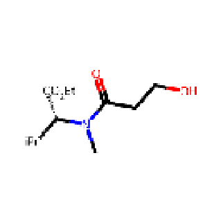 CCOC(=O)[C@@H](C(C)C)N(C)C(=O)CCO